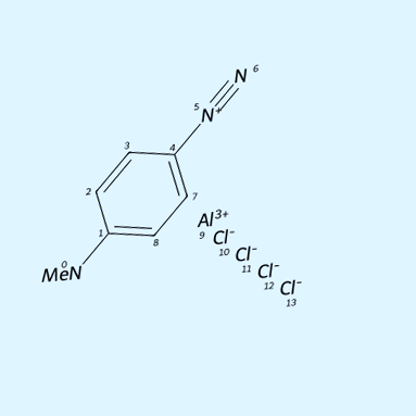 CNc1ccc([N+]#N)cc1.[Al+3].[Cl-].[Cl-].[Cl-].[Cl-]